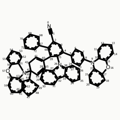 N#Cc1cc(-c2ccc(N3c4ccccc4Oc4ccccc43)cc2)c(-n2c3ccccc3c3ccccc32)c(C2=CCC(c3ccccc3)(N3c4ccccc4Oc4ccccc43)C=C2)c1-c1ccccc1